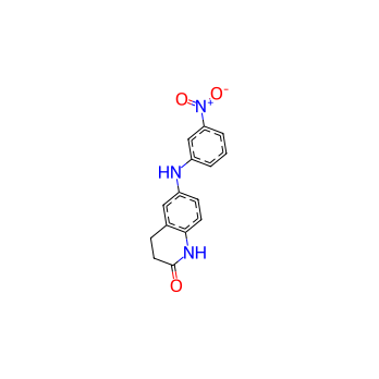 O=C1CCc2cc(Nc3cccc([N+](=O)[O-])c3)ccc2N1